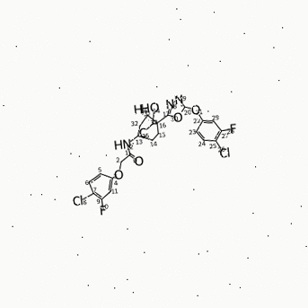 O=C(COc1ccc(Cl)c(F)c1)NC12CCC(c3nnc(Oc4ccc(Cl)c(F)c4)o3)(CC1)[C@H](O)C2